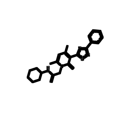 C=C(CN1C(=C)C(c2nc(-c3ccccc3)no2)=C(C)C=C1C)NC1CCCCC1